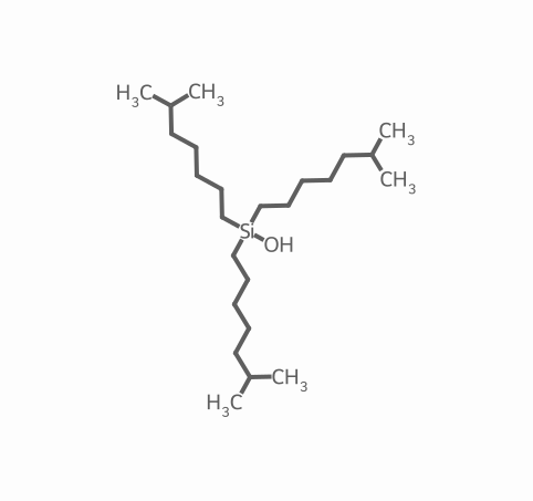 CC(C)CCCCC[Si](O)(CCCCCC(C)C)CCCCCC(C)C